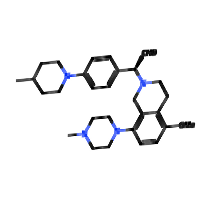 COc1ccc(N2CCN(C)CC2)c2c1CCN([C@H](C=O)c1ccc(N3CCC(C)CC3)cc1)C2